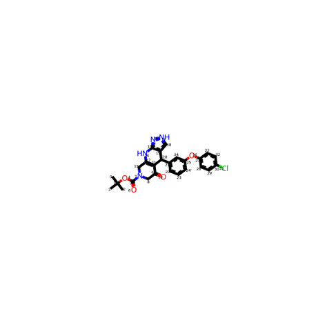 CC(C)(C)OC(=O)N1CC(=O)C2=C(C1)Nc1n[nH]cc1C2c1cccc(Oc2ccc(Cl)cc2)c1